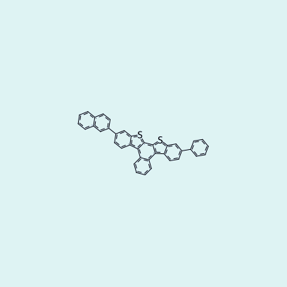 c1ccc(-c2ccc3c(c2)sc2c4sc5cc(-c6ccc7ccccc7c6)ccc5c4c4ccccc4c32)cc1